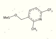 CSOCc1ccc(C(F)(F)F)nc1C